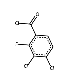 O=C(Cl)c1ccc(Cl)c(Cl)c1F